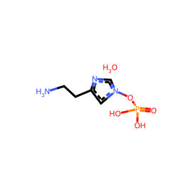 NCCc1cn(OP(=O)(O)O)cn1.O